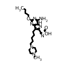 CCCCOc1nc(N)c2[nH]c(C#N)c(CCCCCN3CCN(C)CC3)c2n1.O=CO